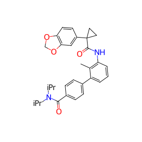 Cc1c(NC(=O)C2(c3ccc4c(c3)OCO4)CC2)cccc1-c1ccc(C(=O)N(C(C)C)C(C)C)cc1